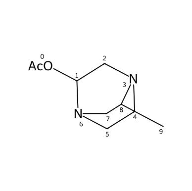 CC(=O)OC1CN2CCN1CC2C